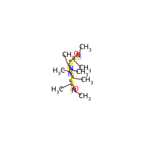 CCCCCCCCc1cc(/C=C2\SC(=S)N(CCCCCCC)C2=O)sc1-c1ccc(-c2sc(-c3nc4c(CCCCC)c5sc(-c6cc(CCCCCCCC)c(-c7ccc(-c8sc(/C=C9\SC(=S)N(CCCCCCC)C9=O)cc8CCCCCCCC)s7)s6)nc5c(CCCCC)c4s3)cc2CCCCCCCC)s1